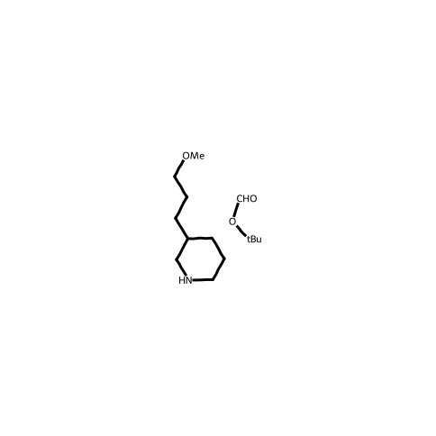 CC(C)(C)OC=O.COCCCC1CCCNC1